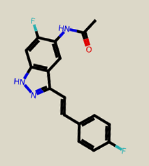 CC(=O)Nc1cc2c(/C=C/c3ccc(F)cc3)n[nH]c2cc1F